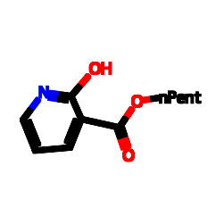 CCCCCOC(=O)c1cccnc1O